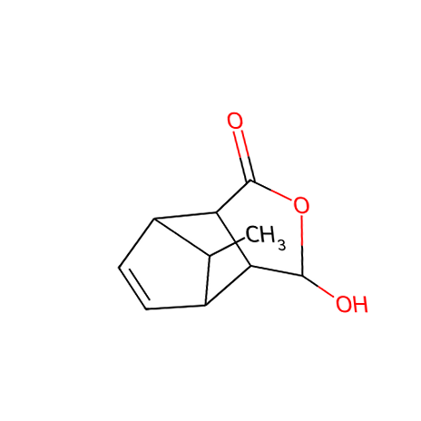 CC1C2C=CC1C1C(O)OC(=O)C21